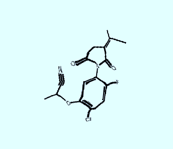 CC(C)=C1CC(=O)N(c2cc(OC(C)C#N)c(Cl)cc2F)C1=O